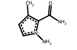 Cc1ccn(N)c1C(N)=O